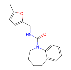 Cc1ccc(CNC(=O)N2CCCCc3ccccc32)o1